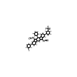 [C-]#[N+]/N=c1\c2cc(-c3cccc(C)c3)ccc2c2cc3/c(=N/C#N)c4cc(-c5cccc(C(F)(F)F)c5)ccc4c3c(-c3ccccc3)c12